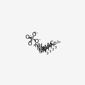 N.N.N.N.N.N.O=P([O-])([O-])[O-].[Co+3]